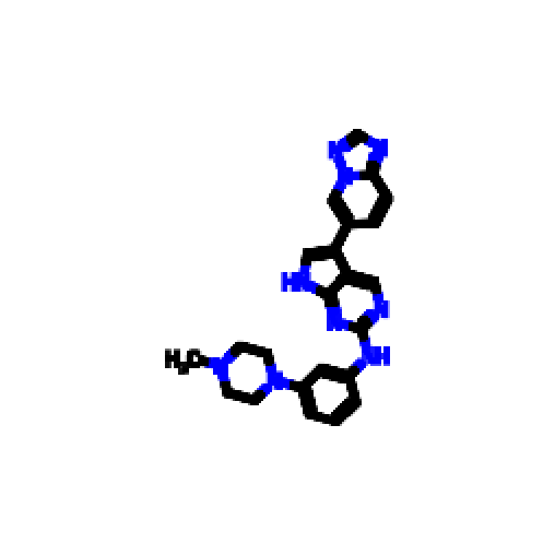 CN1CCN(c2cccc(Nc3ncc4c(-c5ccc6ncnn6c5)c[nH]c4n3)c2)CC1